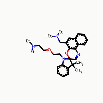 CCN(CC)CCOCCN1c2ccccc2C(C)(C)C12C=Nc1c(c(CN(CC)CC)cc3ccccc13)O2